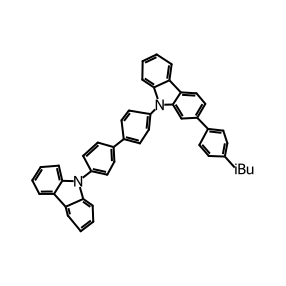 CCC(C)c1ccc(-c2ccc3c4ccccc4n(-c4ccc(-c5ccc(-n6c7ccccc7c7ccccc76)cc5)cc4)c3c2)cc1